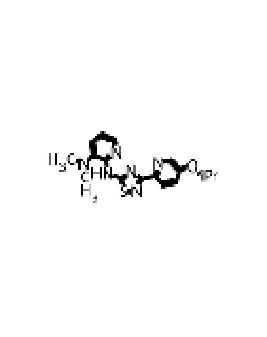 CC(C)Oc1ccc(-c2nsc(Nc3ncccc3N(C)C)n2)nc1